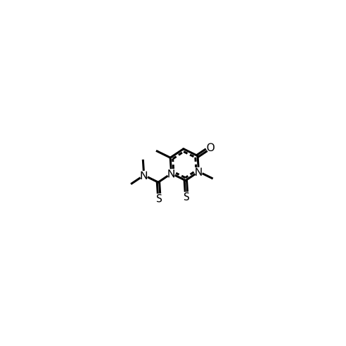 Cc1cc(=O)n(C)c(=S)n1C(=S)N(C)C